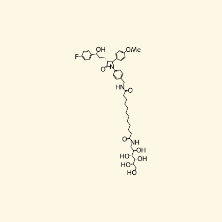 COc1ccc(C2[C@@H](CCC(O)c3ccc(F)cc3)C(=O)N2c2ccc(CNC(=O)CCCCCCCCCCC(=O)NCC(O)[C@@H](O)[C@H](O)[C@H](O)CO)cc2)cc1